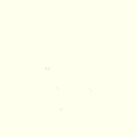 COc1ccccc1C(CNC(=O)c1cc(C(F)(F)F)cc(C(F)(F)F)c1)N1CCC(N2CCCCC2)CC1